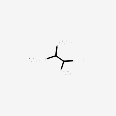 COC(OC)C(C)SC